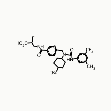 Cc1cc(NC(=O)N(Cc2ccc(C(=O)NCC(F)C(=O)O)cc2)C2CCC(C(C)(C)C)CC2)cc(C(F)(F)F)c1